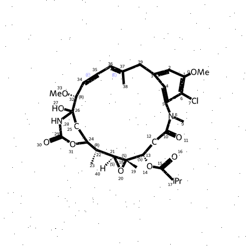 COc1cc2cc(c1Cl)N(C)C(=O)C[C@H](OC(=O)C(C)C)[C@]1(C)O[C@H]1[C@H](C)C1CC(O)(NC(=O)O1)[C@H](OC)/C=C/C=C(\C)C2